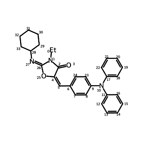 CCN1C(=O)/C(=C\c2ccc(N(c3ccccc3)c3ccccc3)cc2)O/C1=N/C1CCCCC1